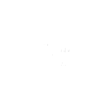 CCCCC(CC)(CC)OC(C)=O